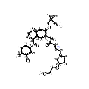 NC1(COc2cc3ncnc(Nc4ccc(F)c(Cl)c4)c3cc2NC(=O)/C=C/CN2CC[C@@H](OCCO)C2)CC1